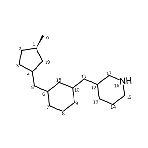 C[C@@H]1CCC(CC2CCCC(CC3CCCNC3)C2)C1